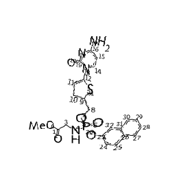 COC(=O)CNP(=O)(OCC1CC=C(n2ccc(N)nc2=O)S1)Oc1ccc2ccccc2c1